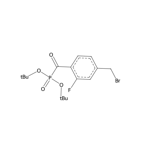 CC(C)(C)OP(=O)(OC(C)(C)C)C(=O)c1ccc(CBr)cc1F